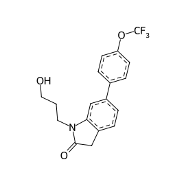 O=C1Cc2ccc(-c3ccc(OC(F)(F)F)cc3)cc2N1CCCO